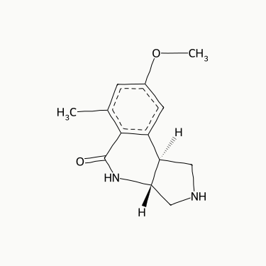 COc1cc(C)c2c(c1)[C@H]1CNC[C@@H]1NC2=O